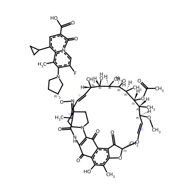 CO[C@H]1/C=C/O[C@@]2(C)Oc3c(C)c(O)c4c(c3C2=O)C(=O)C(N2CCC(=NO[C@@H]3CCN(c5c(F)cn6c(=O)c(C(=O)O)cc(C7CC7)c6c5C)C3)CC2)=C(NC(=O)/C(C)=C\C=C\[C@H](C)[C@H](O)[C@@H](C)[C@@H](O)[C@@H](C)[C@H](OC(C)=O)[C@@H]1C)C4=O